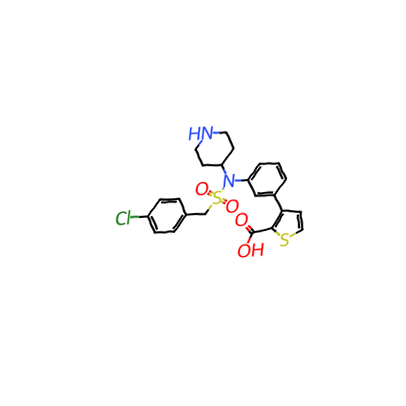 O=C(O)c1sccc1-c1cccc(N(C2CCNCC2)S(=O)(=O)Cc2ccc(Cl)cc2)c1